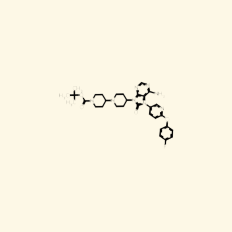 CC(C)(C)OC(=O)N1CCC(N2CCC(n3c(=O)n(-c4ccc(Oc5ccc(F)cc5)nc4)c4c(N)ncnc43)CC2)CC1